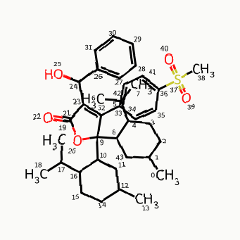 CC1CCC(C(C)C)C(C2(C3CC(C)CCC3C(C)C)OC(=O)C(C(O)c3ccccc3)=C2c2ccc(S(C)(=O)=O)cc2)C1